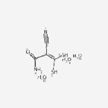 N#CC(C(N)=O)=C(S)S.O.O.O